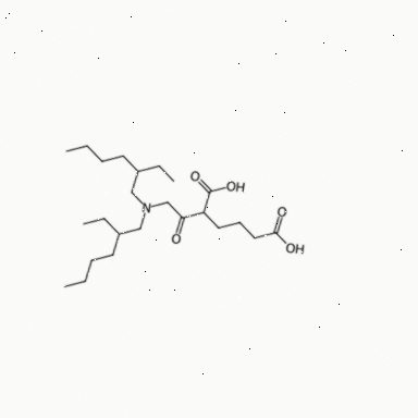 CCCCC(CC)CN(CC(=O)C(CCCC(=O)O)C(=O)O)CC(CC)CCCC